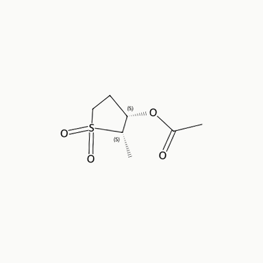 CC(=O)O[C@H]1CCS(=O)(=O)[C@H]1C